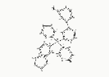 Clc1cccc(-c2cccc3c2-c2ccccc2C32c3ccccc3-c3c2ccc2ccccc32)c1